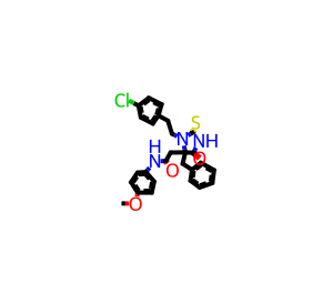 COc1ccc(NC(=O)CC2(Cc3ccccc3)C(=O)NC(=S)N2CCc2ccc(Cl)cc2)cc1